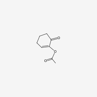 CC(=O)OC1=CCCCC1=O